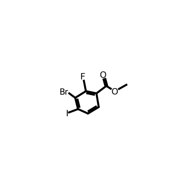 COC(=O)c1ccc(I)c(Br)c1F